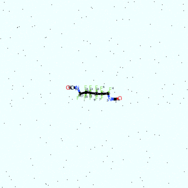 O=C=NC(F)C(F)(F)C(F)(F)C(F)(F)C(F)(F)C(F)N=C=O